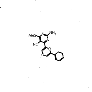 CSc1nc(N)nc(C2=COC=C(C3=CC=CCC3)O2)c1C#N